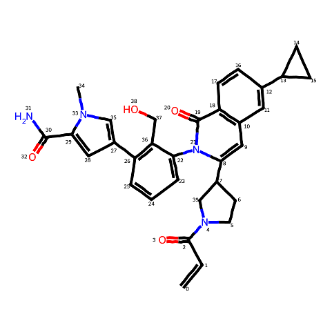 C=CC(=O)N1CCC(c2cc3cc(C4CC4)ccc3c(=O)n2-c2cccc(-c3cc(C(N)=O)n(C)c3)c2CO)C1